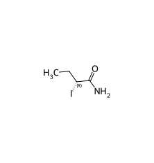 CC[C@@H](I)C(N)=O